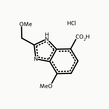 COCc1nc2c(OC)ccc(C(=O)O)c2[nH]1.Cl